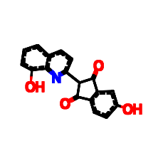 O=C1c2ccc(O)cc2C(=O)C1c1ccc2cccc(O)c2n1